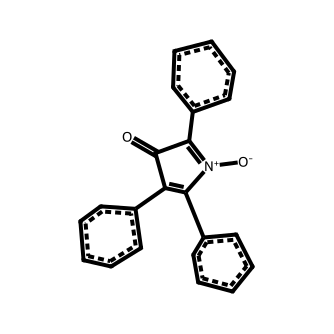 O=C1C(c2ccccc2)=C(c2ccccc2)[N+]([O-])=C1c1ccccc1